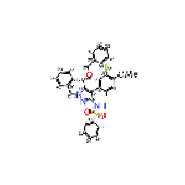 COc1ccc(-c2c(NS(=O)(=O)c3ccccc3)nn(Cc3ccccc3)c2COCc2ccccc2)cc1F